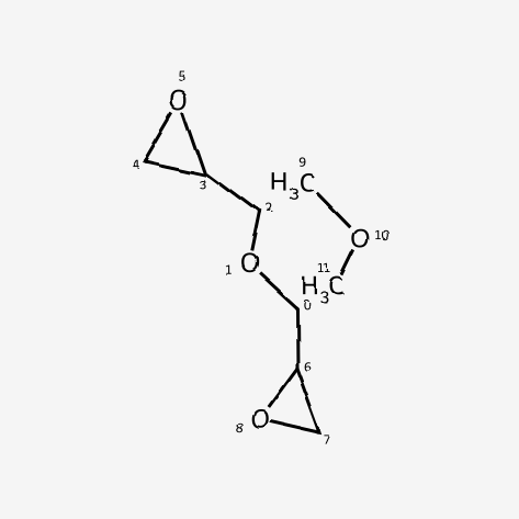 C(OCC1CO1)C1CO1.COC